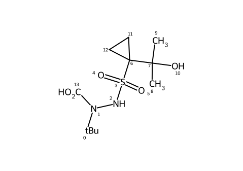 CC(C)(C)N(NS(=O)(=O)C1(C(C)(C)O)CC1)C(=O)O